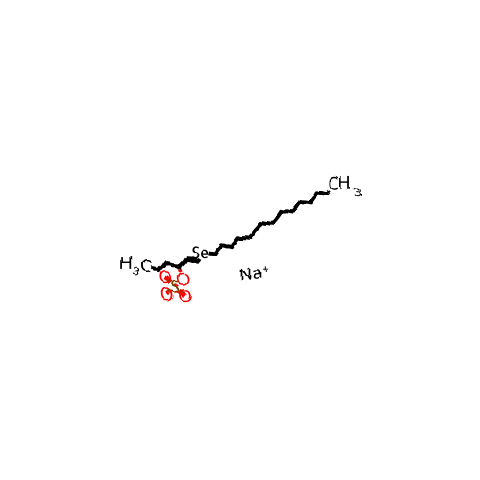 CCCCCCCCCCCCCC[Se]C=CC(CCC)OS(=O)(=O)[O-].[Na+]